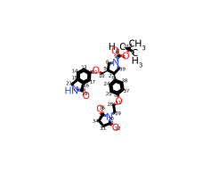 CC(C)(C)OC(=O)N1C[C@H](COc2ccc3c(c2)C(=O)NC3)[C@H](c2ccc(OCCN3C(=O)CCC3=O)cc2)C1